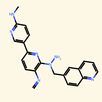 C=Nc1ccc(-c2ccc(NC)nc2)nc1N(N)Cc1ccc2ncccc2c1